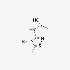 Cc1snc(NC(=O)O)c1Br